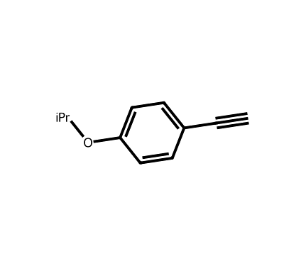 C#Cc1ccc(OC(C)C)cc1